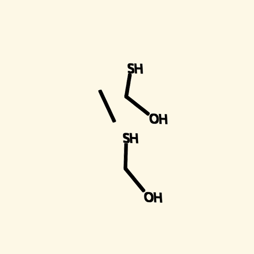 CC.OCS.OCS